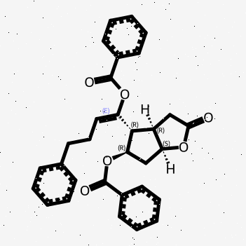 O=C1C[C@@H]2[C@@H](/C(=C\CCc3ccccc3)OC(=O)c3ccccc3)[C@H](OC(=O)c3ccccc3)C[C@@H]2O1